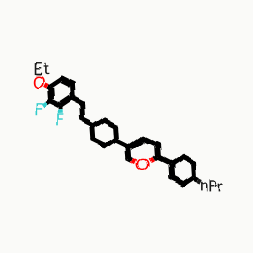 CCCC1CCC(C2CC=C(C3CCC(CCc4ccc(OCC)c(F)c4F)CC3)CO2)CC1